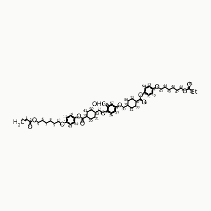 C=CC(=O)OCCCCCCOc1ccc(OC(=O)C2CCC(COc3ccc(OCC4CCC(C(=O)Oc5ccc(OCCCCCCOC(=O)CC)cc5)CC4)cc3C=O)CC2)cc1